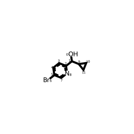 OC(c1ccc(Br)cn1)C1CC1